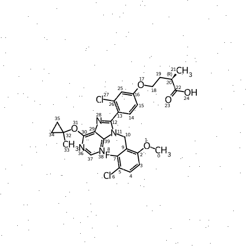 COc1ccc(Cl)c(F)c1Cn1c(-c2ccc(OCC[C@@H](C)C(=O)O)cc2Cl)nc2c(OC3(C)CC3)ncnc21